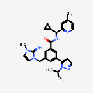 Cc1ccnc(C(NC(=O)c2cc(Cn3ccn(C)c3=N)cc(-c3ccnn3C(C)C)c2)C2CC2)c1